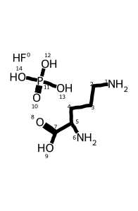 F.NCCCC(N)C(=O)O.O=P(O)(O)O